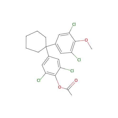 COc1c(Cl)cc(C2(c3cc(Cl)c(OC(C)=O)c(Cl)c3)CCCCC2)cc1Cl